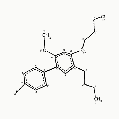 CCCCc1cc(-c2ccc(F)cc2)c(OC)cc1OCCCCl